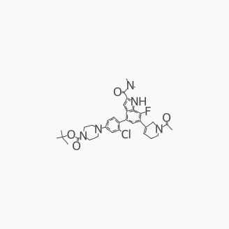 CC(=O)N1CCC=C(c2cc(-c3ccc(N4CCN(C(=O)OC(C)(C)C)CC4)cc3Cl)c3cc(C(=O)N(C)C)[nH]c3c2F)C1